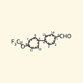 O=Cc1ccc(-c2ccc(OC(F)(F)F)cc2)cc1